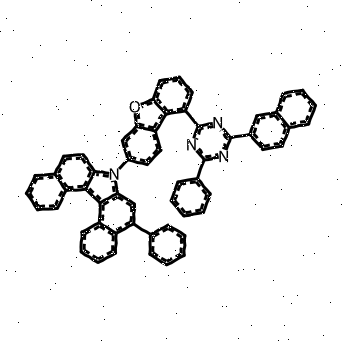 c1ccc(-c2nc(-c3ccc4ccccc4c3)nc(-c3cccc4oc5cc(-n6c7ccc8ccccc8c7c7c8ccccc8c(-c8ccccc8)cc76)ccc5c34)n2)cc1